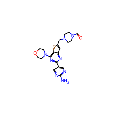 Nc1ncc(-c2nc(N3CCOCC3)c3sc(CN4CCN(C=O)CC4)cc3n2)cn1